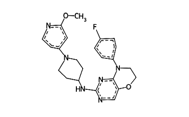 COc1cc(N2CCC(Nc3ncc4c(n3)N(c3ccc(F)cc3)CCO4)CC2)ccn1